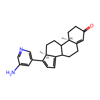 C[C@]12CCC3C(CCC4=CC(=O)CC[C@@]43C)C1=CC=C2c1cncc(N)c1